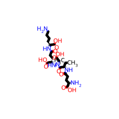 CC(C)[C@H](NC(=O)CC[C@H](N)C(=O)O)C(=O)N(CC(=O)O)N[C@@H](CCC(=O)N[C@@H](CCCCN)C(=O)O)C(=O)O